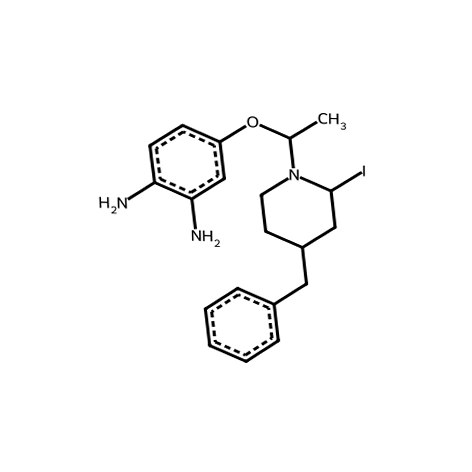 CC(Oc1ccc(N)c(N)c1)N1CCC(Cc2ccccc2)CC1I